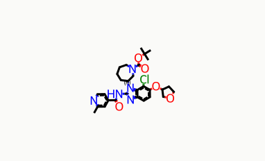 Cc1cc(C(=O)Nc2nc3ccc(OC4CCOC4)c(Cl)c3n2[C@@H]2CCCCN(C(=O)OC(C)(C)C)C2)ccn1